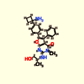 CC(CO)Nc1nc2oc(-c3ccc(C4(N)CCC4)cc3)c(-c3ccccc3)c2c(=O)n1C